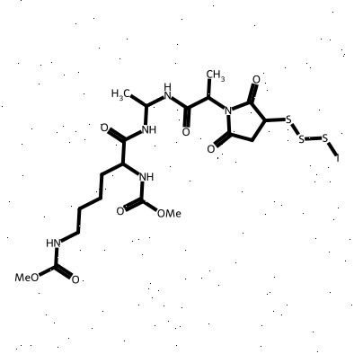 COC(=O)NCCCCC(NC(=O)OC)C(=O)NC(C)NC(=O)C(C)N1C(=O)CC(SSSI)C1=O